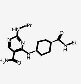 CCNC(=O)[C@H]1CC[C@@H](Nc2nc(NC(C)C)ncc2C(N)=O)CC1